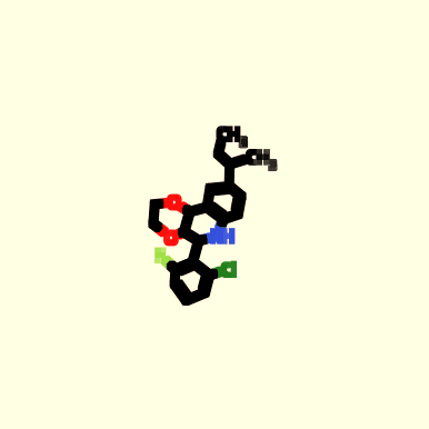 CCC(C)c1ccc2c(c1)C1OCCOC1C(c1c(F)cccc1Cl)N2